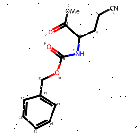 COC(=O)C(CCC#N)NC(=O)OCc1ccccc1